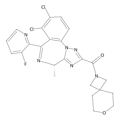 C[C@@H]1N=C(c2ncccc2F)c2c(ccc(Cl)c2Cl)-n2nc(C(=O)N3CC4(CCOCC4)C3)nc21